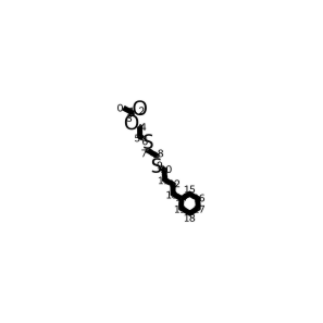 CC(=O)OCCSCCSCCCCC1CCCCC1